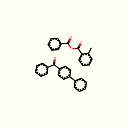 Cc1ccccc1C(=O)OC(=O)c1ccccc1.O=C(c1ccccc1)c1ccc(-c2ccccc2)cc1